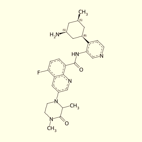 CC1C(=O)N(C)CCN1c1cnc2c(C(=O)Nc3cnccc3[C@@H]3C[C@H](C)C[C@H](N)C3)ccc(F)c2c1